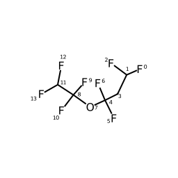 FC(F)CC(F)(F)OC(F)(F)C(F)F